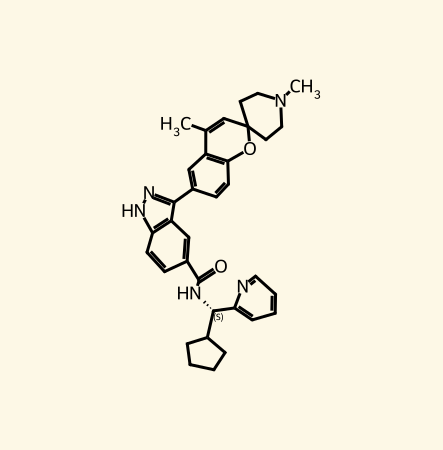 CC1=CC2(CCN(C)CC2)Oc2ccc(-c3n[nH]c4ccc(C(=O)N[C@H](c5ccccn5)C5CCCC5)cc34)cc21